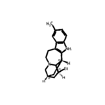 CC[C@H]1C[C@H]2C[C@H]3c4[nH]c5ccc(C)cc5c4CCN(C2)C13